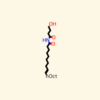 CCCCCCCCC=CCCCCCCCC(=O)NC(=O)CCCO